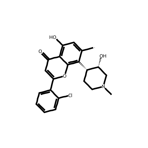 [CH2]c1cc(O)c2c(=O)cc(-c3ccccc3Cl)oc2c1[C@H]1CCN(C)C[C@H]1O